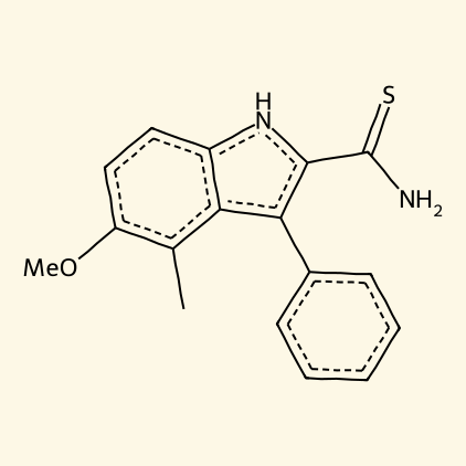 COc1ccc2[nH]c(C(N)=S)c(-c3ccccc3)c2c1C